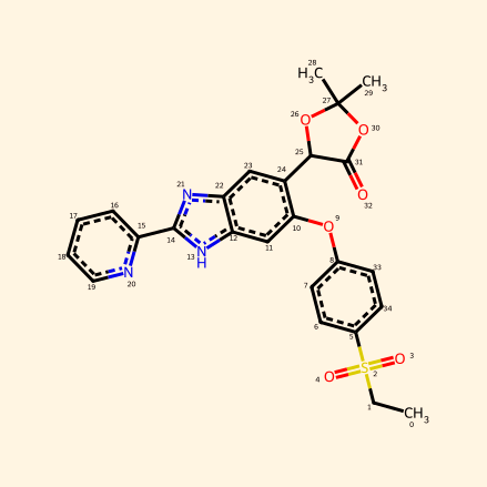 CCS(=O)(=O)c1ccc(Oc2cc3[nH]c(-c4ccccn4)nc3cc2C2OC(C)(C)OC2=O)cc1